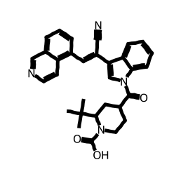 CC(C)(C)C1CC(C(=O)n2cc(/C(C#N)=C/c3cccc4cnccc34)c3ccccc32)CCN1C(=O)O